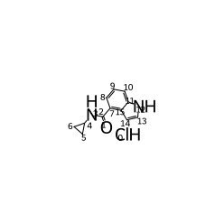 Cl.O=C(NC1CC1)c1cccc2[nH]ccc12